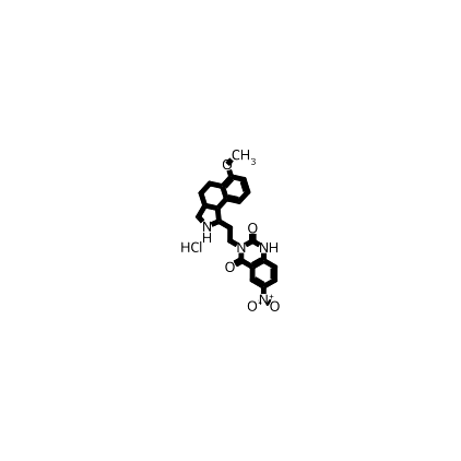 COc1cccc2c1CCC1CNC(CCn3c(=O)[nH]c4ccc([N+](=O)[O-])cc4c3=O)C21.Cl